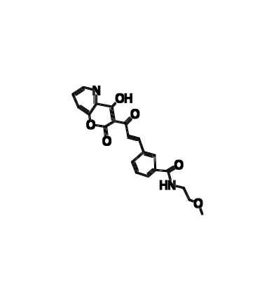 COCCNC(=O)c1cccc(/C=C/C(=O)c2c(O)c3ncccc3oc2=O)c1